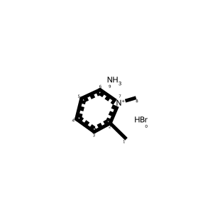 Br.Cc1cccc[n+]1C.N